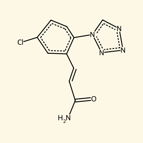 NC(=O)/C=C/c1cc(Cl)ccc1-n1cnnn1